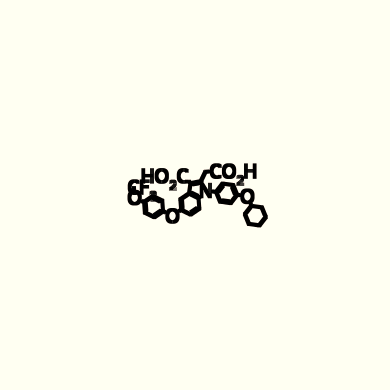 O=C(O)Cc1c(C(=O)O)c2cc(Oc3ccc(OC(F)(F)F)cc3)ccc2n1-c1ccc(OC2CCCCC2)cc1